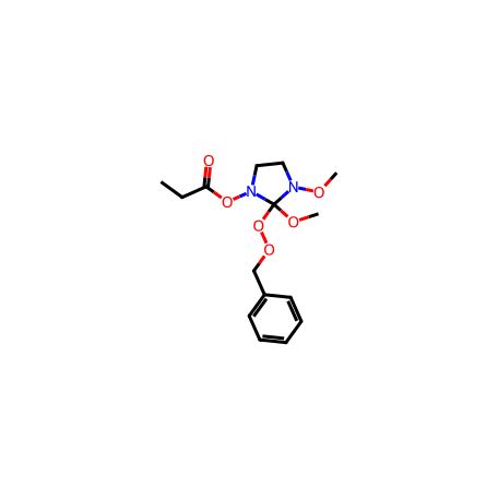 CCC(=O)ON1CCN(OC)C1(OC)OOCc1ccccc1